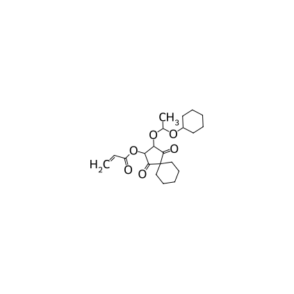 C=CC(=O)OC1C(=O)C2(CCCCC2)C(=O)C1OC(C)OC1CCCCC1